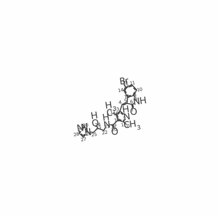 Cc1[nH]c(/C=C2\C(=O)Nc3ccc(Br)cc32)c(C)c1C(=O)NCC(O)Cn1ccnn1